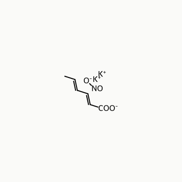 CC=CC=CC(=O)[O-].O=N[O-].[K+].[K+]